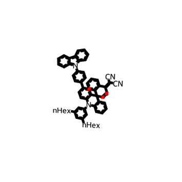 CCCCCCc1cc(CCCCCC)cc(N2c3ccccc3C3(c4ccccc4C(=C(C#N)C#N)c4ccccc43)c3cc(-c4ccc(-n5c6ccccc6c6ccccc65)cc4)ccc32)c1